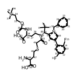 CC(C)(C)[C@H](c1cc(-c2cc(F)ccc2F)cn1Cc1ccccc1)N(CC[C@H](NC(=O)OCCS(C)(C)C)C(=O)O)C(=O)CSCCC(N)C(=O)O